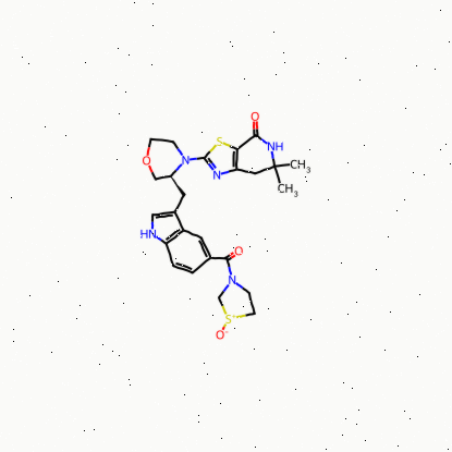 CC1(C)Cc2nc(N3CCOC[C@@H]3Cc3c[nH]c4ccc(C(=O)N5CC[S+]([O-])C5)cc34)sc2C(=O)N1